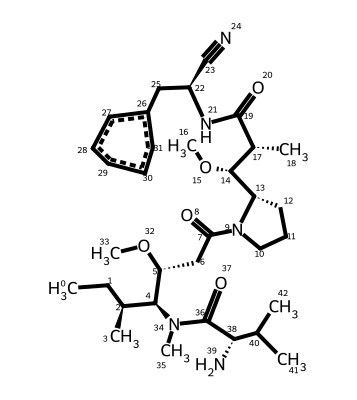 CC[C@H](C)[C@@H]([C@@H](CC(=O)N1CCC[C@H]1[C@H](OC)[C@@H](C)C(=O)N[C@H](C#N)Cc1ccccc1)OC)N(C)C(=O)[C@@H](N)C(C)C